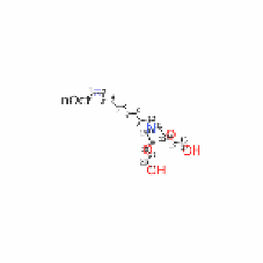 CCCCCCCC/C=C\CCCCCCCCN(CCOCCO)CCOCCO